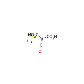 CS.CS.O=C=C(C(=O)O)C(=O)O